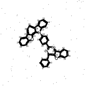 c1ccc(-c2nc(-c3ccc(-n4c5ccccc5c5ccc6c7ccccc7oc6c54)cc3)nc3c2oc2ccccc23)cc1